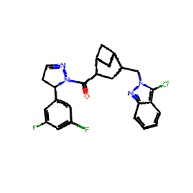 O=C(C1CC(Cn2nc3ccccc3c2Cl)C2CC1C2)N1N=CCC1c1cc(F)cc(F)c1